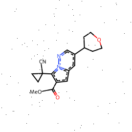 COC(=O)c1cc2cc(C3CCOCC3)cnn2c1C1(C#N)CC1